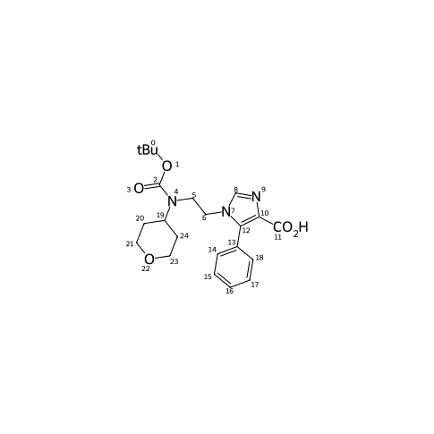 CC(C)(C)OC(=O)N(CCn1cnc(C(=O)O)c1-c1ccccc1)C1CCOCC1